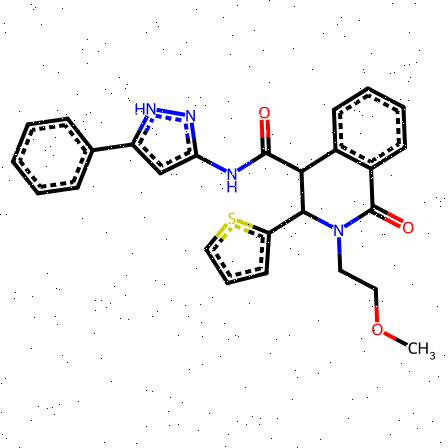 COCCN1C(=O)c2ccccc2C(C(=O)Nc2cc(-c3ccccc3)[nH]n2)C1c1cccs1